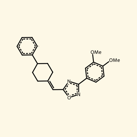 COc1ccc(-c2noc(C=C3CCC(c4[c]cccc4)CC3)n2)cc1OC